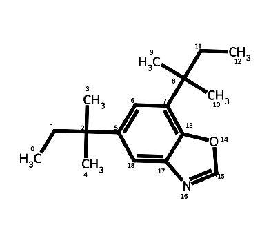 CCC(C)(C)c1cc(C(C)(C)CC)c2o[c]nc2c1